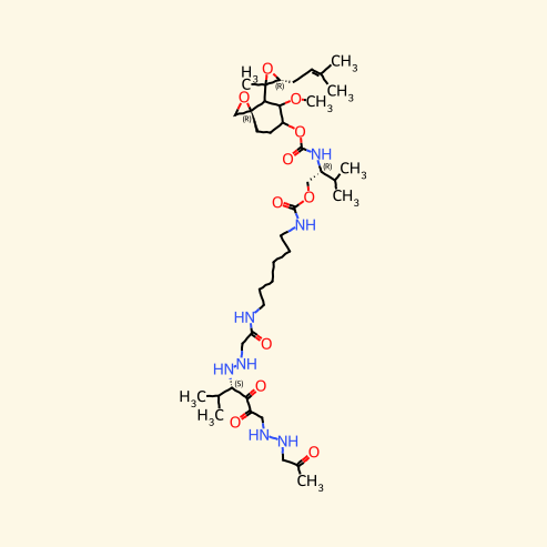 COC1C(OC(=O)N[C@@H](COC(=O)NCCCCCCNC(=O)CNN[C@H](C(=O)C(=O)CNNCC(C)=O)C(C)C)C(C)C)CC[C@]2(CO2)C1C1(C)O[C@@H]1CC=C(C)C